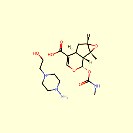 CNC(=O)O[C@@H]1OC=C(C(=O)O)[C@H]2C[C@@H]3O[C@]3(C)[C@H]12.NN1CCN(CCO)CC1